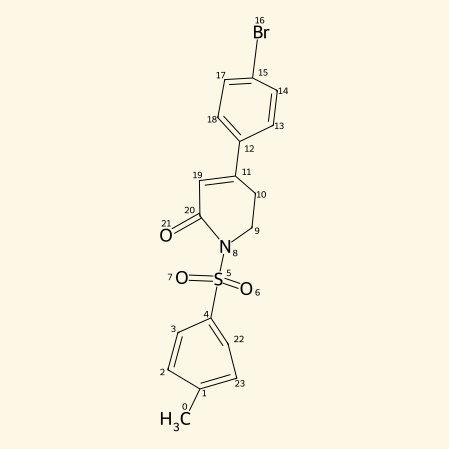 Cc1ccc(S(=O)(=O)N2CCC(c3ccc(Br)cc3)=CC2=O)cc1